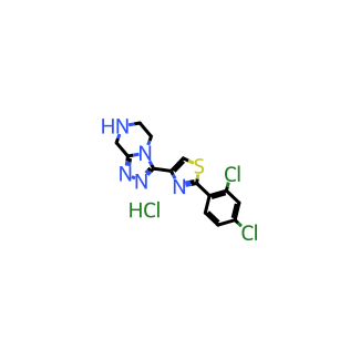 Cl.Clc1ccc(-c2nc(-c3nnc4n3CCNC4)cs2)c(Cl)c1